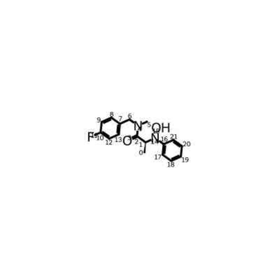 C[C@@H](C(=O)N(C)Cc1ccc(F)cc1)N(O)c1ccccc1